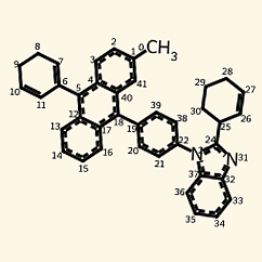 Cc1ccc2c(C3=CCCC=C3)c3ccccc3c(-c3ccc(-n4c(C5C=CCCC5)nc5ccccc54)cc3)c2c1